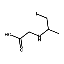 CC(CI)NCC(=O)O